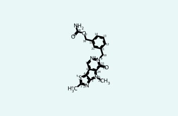 Cc1nc2c(s1)c1cnn(Cc3cccc(COC(N)=O)c3)c(=O)c1n2C